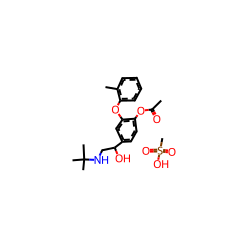 CC(=O)Oc1ccc(C(O)CNC(C)(C)C)cc1Oc1ccccc1C.CS(=O)(=O)O